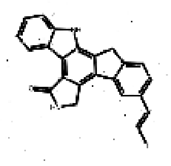 O=C1NCc2c3c(c4[nH]c5ccccc5c4c21)Cc1ccc(C=CI)cc1-3